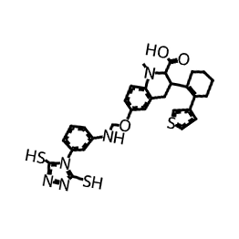 CN1c2ccc(OCNc3cccc(-n4c(S)nnc4S)c3)cc2CC(C2=C(c3ccsc3)CCCC2)C1C(=O)O